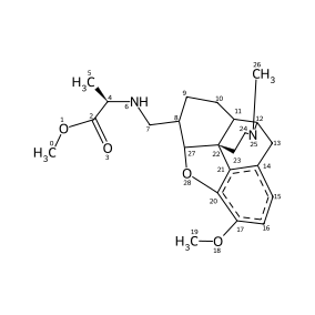 COC(=O)[C@@H](C)NCC1CCC2C3Cc4ccc(OC)c5c4[C@]2(CCN3C)C1O5